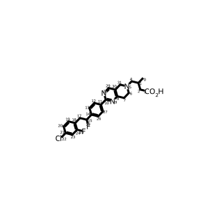 CC(CC(=O)O)CN1CCc2nc(-c3ccc(C(F)Cc4ccc(Cl)cc4F)cc3)ncc2C1